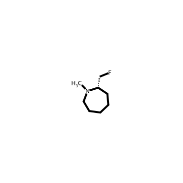 CN1CCCCC[C@H]1CF